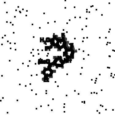 CCN1CCC(=C(OC)c2ccc(Nc3ncc(F)c(-c4cc(F)c5nc(C)n(C(C)C)c5c4)n3)nc2)CC1